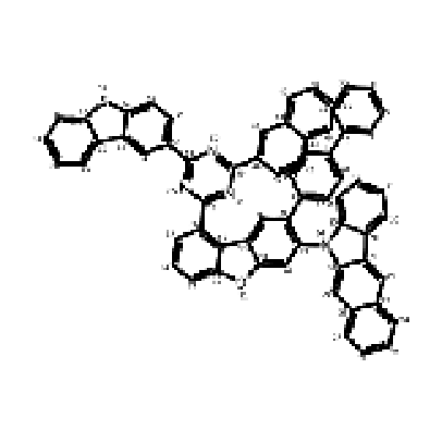 c1ccc(-c2ccc(-c3cc4c(cc3-n3c5ccccc5c5cc6ccccc6cc53)oc3cccc(-c5nc(-c6ccc7ccccc7c6)nc(-c6ccc7sc8ccccc8c7c6)n5)c34)cc2)cc1